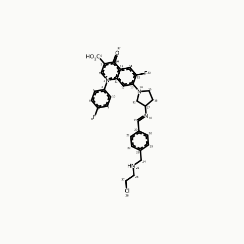 O=C(O)c1cn(-c2ccc(F)cc2)c2cc(N3CCC(N=Cc4ccc(CNCCCl)cc4)C3)c(F)cc2c1=O